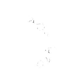 O=C1CCc2cc(OCCCC(=O)N3CCN(Cc4ccccc4)CC3)ccc2N1